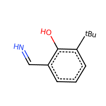 CC(C)(C)c1cccc(C=N)c1O